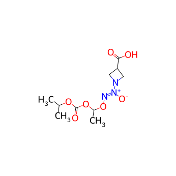 CC(C)OC(=O)OC(C)O/N=[N+](\[O-])N1CC(C(=O)O)C1